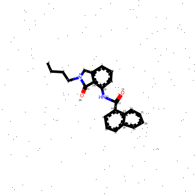 CCCCN1Cc2cccc(NC(=O)c3cccc4ccccc34)c2C1=O